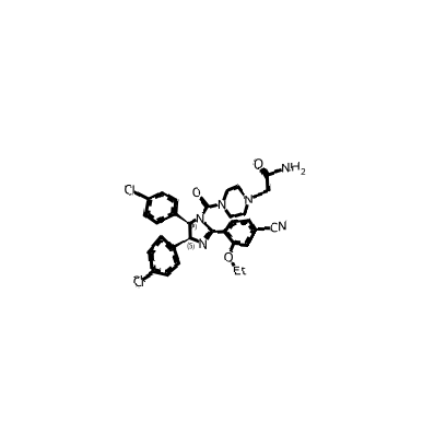 CCOc1cc(C#N)ccc1C1=N[C@@H](c2ccc(Cl)cc2)[C@@H](c2ccc(Cl)cc2)N1C(=O)N1CCN(CC(N)=O)CC1